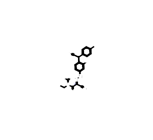 CCN(C(=O)O)C(=O)/C(C#N)=N/Nc1ccc(C(C#N)c2ccc(C)cc2)c(Cl)c1